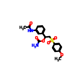 COc1ccc(S(=O)(=O)CC(OC(N)=O)c2cccc(NC(C)=O)c2)cc1